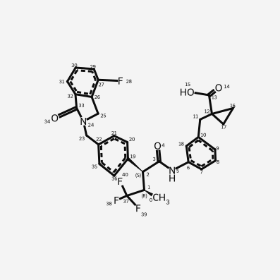 C[C@H]([C@H](C(=O)Nc1cccc(CC2(C(=O)O)CC2)c1)c1ccc(CN2Cc3c(F)cccc3C2=O)cc1)C(F)(F)F